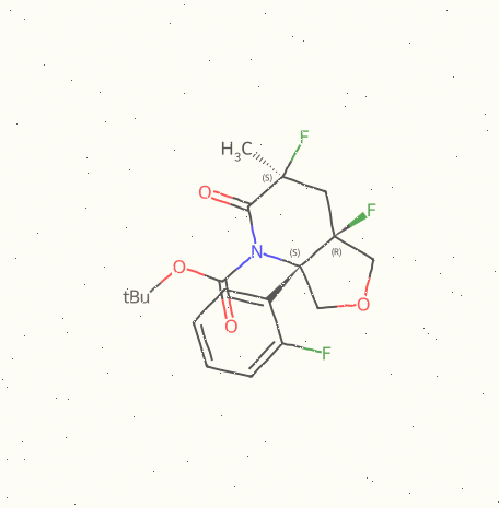 CC(C)(C)OC(=O)N1C(=O)[C@@](C)(F)C[C@]2(F)COC[C@]12c1ccccc1F